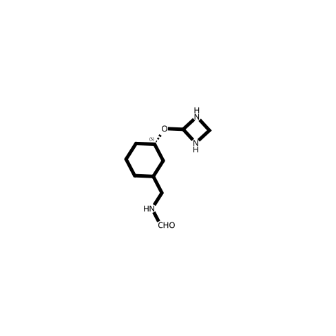 O=CNCC1CCC[C@H](OC2NCN2)C1